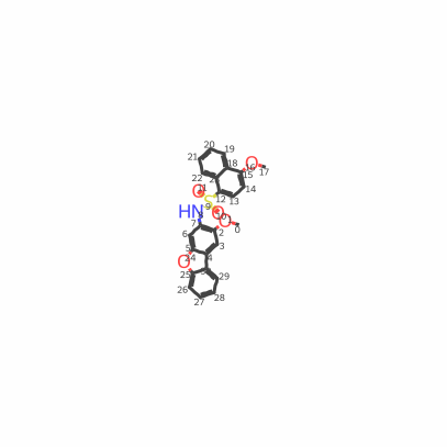 COc1cc2c(cc1NS(=O)(=O)c1ccc(OC)c3ccccc13)oc1ccccc12